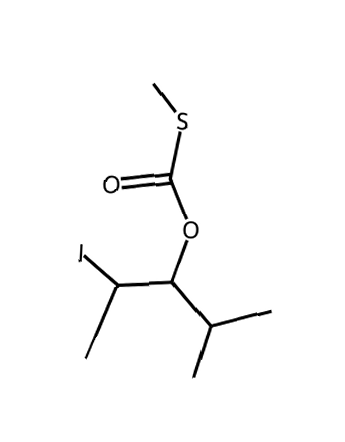 CSC(=O)OC(C(C)C)C(C)I